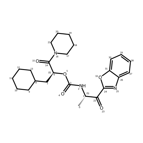 C[C@H](NC(=O)O[C@@H](CC1CCCCC1)C(=O)N1CCCCC1)C(=O)c1nc2ccccc2o1